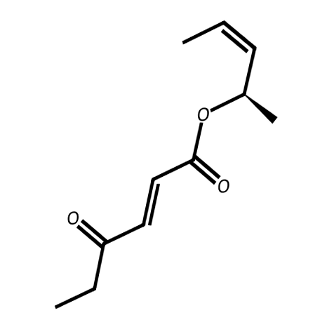 C/C=C\[C@@H](C)OC(=O)/C=C/C(=O)CC